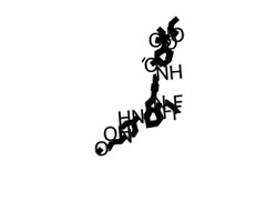 CCC(=O)N(C)S(=O)(=O)c1ccc(NCC#Cc2cc3c(NC4CCN(CC(O)COC)CC4)cccc3n2CC(F)(F)F)c(OC)c1